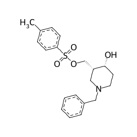 Cc1ccc(S(=O)(=O)OC[C@H]2CN(Cc3ccccc3)CC[C@H]2O)cc1